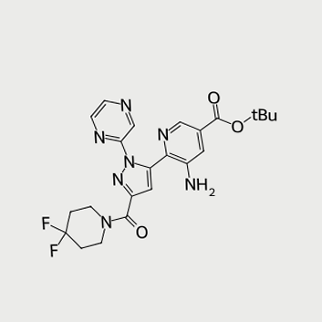 CC(C)(C)OC(=O)c1cnc(-c2cc(C(=O)N3CCC(F)(F)CC3)nn2-c2cnccn2)c(N)c1